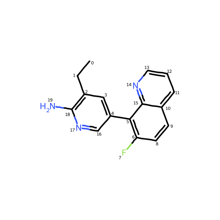 CCc1cc(-c2c(F)ccc3cccnc23)cnc1N